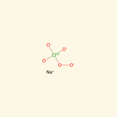 [Na+].[O-]O[Cl+3]([O-])([O-])[O-]